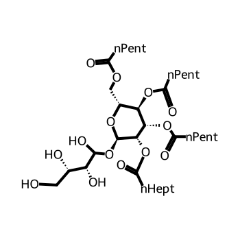 CCCCCCCC(=O)O[C@@H]1[C@@H](OC(O)[C@H](O)[C@@H](O)CO)O[C@H](COC(=O)CCCCC)[C@@H](OC(=O)CCCCC)[C@@H]1OC(=O)CCCCC